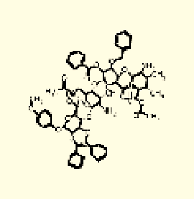 COC(=O)C1O[C@@H](O[C@@H]2C(COC(C)=O)O[C@@H](O[C@H]3C(C(=O)OC)O[C@@H](Oc4ccc(OC)cc4)C(OC(=O)c4ccccc4)[C@@H]3OCc3ccccc3)C(N)[C@H]2C)C(OC(=O)c2ccccc2)[C@H](OCc2ccccc2)[C@H]1O[C@@H]1OC(COC(C)=O)[C@@H](C)[C@H](C)C1N